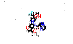 CC(O)C1CCOc2cc(N3CCC([C@](C)(O)C(F)(F)F)CC3)c(NC(=O)c3cnn4cccnc34)cc21